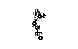 CCc1c(-c2cn(-c3cc(C(=O)Nc4cc(C5(C)CC5)cc(NS(C)(=O)=O)c4OC)ccc3C)nn2)cnn1-c1ccccc1